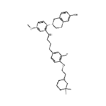 COc1ccc([C@H]2CCc3cc(O)ccc3C2)c(NCCCc2ccc(OCCN3CCCC(C)(C)C3)c(F)c2)c1